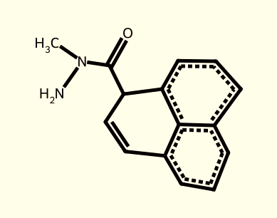 CN(N)C(=O)C1C=Cc2cccc3cccc1c23